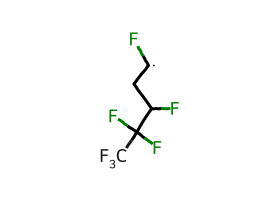 F[CH]CC(F)C(F)(F)C(F)(F)F